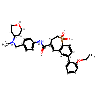 CCOc1ccccc1-c1ccc2c(c1)C=C(C(=O)Nc1ccc(CN(C)C3CCOCC3)cc1)CCS2(=O)=O